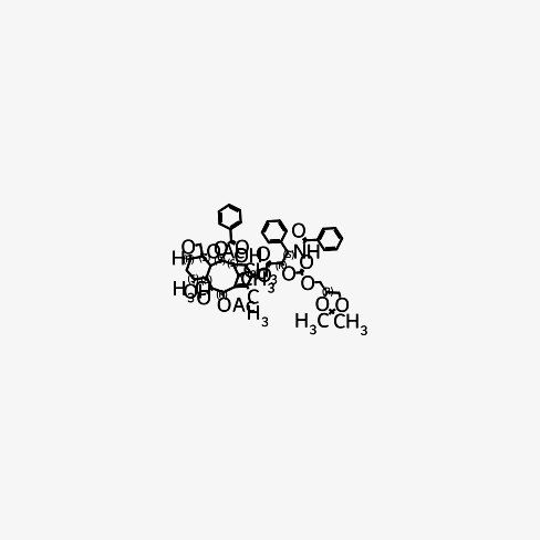 CC(=O)O[C@H]1C(=O)[C@@]2(C)C([C@H](OC(=O)c3ccccc3)[C@]3(O)C[C@H](OC(=O)[C@H](OC(=O)OC[C@H]4COC(C)(C)O4)[C@@H](NC(=O)c4ccccc4)c4ccccc4)C(C)=C1C3(C)C)[C@]1(OC(C)=O)CO[C@@H]1C[C@@H]2O